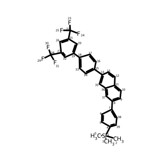 C[Si](C)(C)c1ccc(-c2ccc3ccc(-c4ccc(-c5cc(C(F)(F)F)cc(C(F)(F)F)c5)cc4)cc3c2)cc1